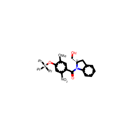 COc1cc(C(=O)N2c3ccccc3C[C@H]2CO)c([N+](=O)[O-])cc1O[Si](C(C)C)(C(C)C)C(C)C